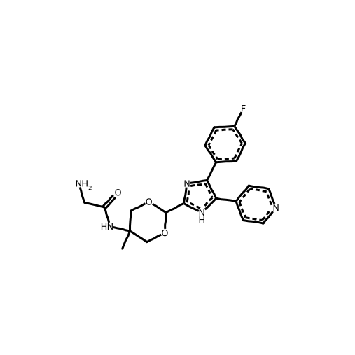 CC1(NC(=O)CN)COC(c2nc(-c3ccc(F)cc3)c(-c3ccncc3)[nH]2)OC1